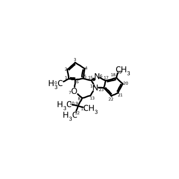 Cc1cccc2c1OC(C(C)(C)C)Cn1c-2nc2c(C)cccc21